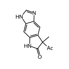 CC(=O)C1(C)C(=O)Nc2cc3[nH]cnc3cc21